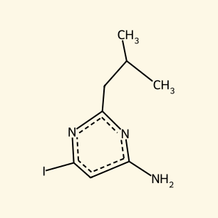 CC(C)Cc1nc(N)cc(I)n1